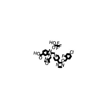 O=C(O)C(F)(F)F.O=C(O)c1ccc2nc(CN3CCC(c4nccnc4OCc4ccc(Cl)cc4F)CC3)n(Cc3cocn3)c2c1